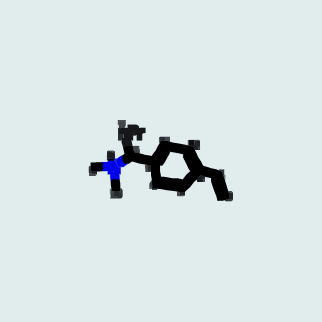 C=Cc1ccc(C(CCC)N(C)C)cc1